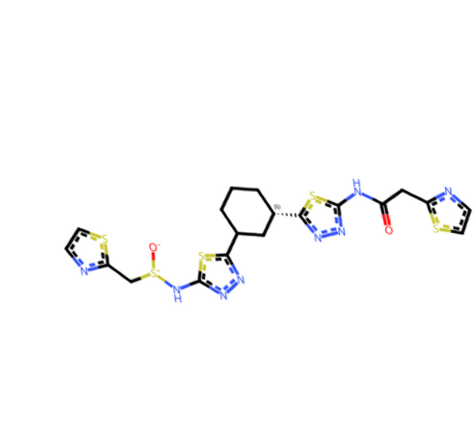 O=C(Cc1nccs1)Nc1nnc([C@H]2CCCC(c3nnc(N[S+]([O-])Cc4nccs4)s3)C2)s1